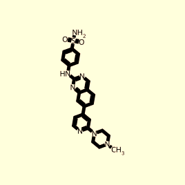 CN1CCN(c2cc(-c3ccc4cnc(Nc5ccc(S(N)(=O)=O)cc5)nc4c3)ccn2)CC1